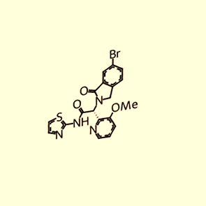 COc1cccnc1[C@H](C(=O)Nc1nccs1)N1Cc2ccc(Br)cc2C1=O